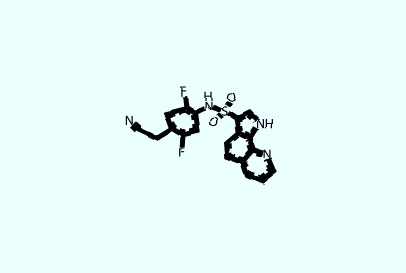 N#CCc1cc(F)c(NS(=O)(=O)c2c[nH]c3c2ccc2cccnc23)cc1F